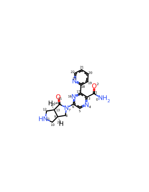 NC(=O)c1ncc(N2C[C@H]3CNC[C@H]3C2=O)nc1-c1ccccn1